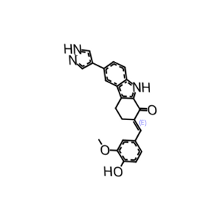 COc1cc(/C=C2\CCc3c([nH]c4ccc(-c5cn[nH]c5)cc34)C2=O)ccc1O